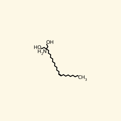 CCCCCCCC/C=C\CCCCCCCCCCCC(N)(CCO)CCO